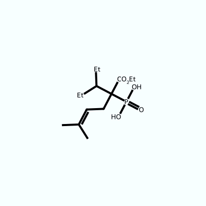 CCOC(=O)C(CC=C(C)C)(C(CC)CC)P(=O)(O)O